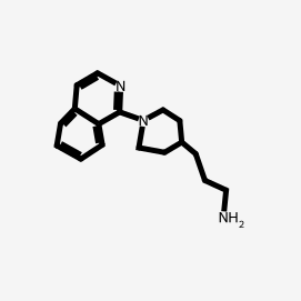 NCCCC1CCN(c2nccc3ccccc23)CC1